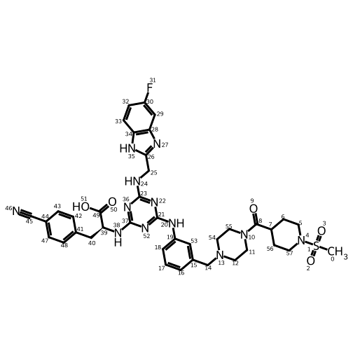 CS(=O)(=O)N1CCC(C(=O)N2CCN(Cc3cccc(Nc4nc(NCc5nc6cc(F)ccc6[nH]5)nc(N[C@@H](Cc5ccc(C#N)cc5)C(=O)O)n4)c3)CC2)CC1